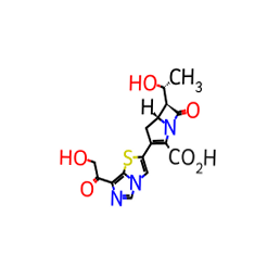 C[C@@H](O)[C@H]1C(=O)N2C(C(=O)O)=C(c3cn4cnc(C(=O)CO)c4s3)C[C@H]12